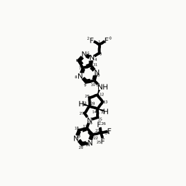 FC(F)Cn1ncc2ncc(N[C@H]3C[C@@H]4CN(c5cncnc5C(F)(F)F)C[C@@H]4C3)nc21